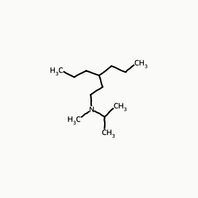 CCCC(CCC)CCN(C)C(C)C